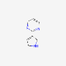 C1=CCNC1.c1cncnc1